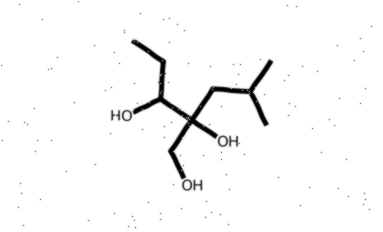 CCC(O)C(O)(CO)CC(C)C